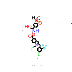 CCS(=O)(=O)c1ccc(C(CO)NCOC(=O)c2ccc3c(c2)cc(Cc2ccc(Cl)cc2C(F)(F)F)n3CCF)cc1